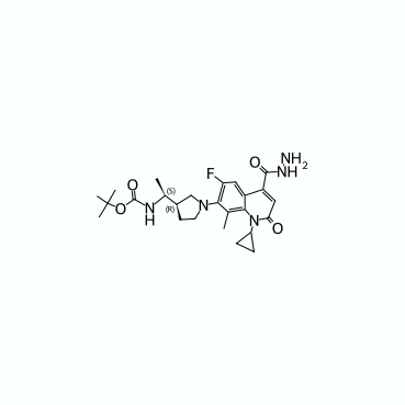 Cc1c(N2CC[C@@H]([C@H](C)NC(=O)OC(C)(C)C)C2)c(F)cc2c(C(=O)NN)cc(=O)n(C3CC3)c12